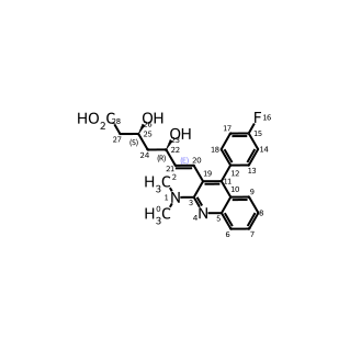 CN(C)c1nc2ccccc2c(-c2ccc(F)cc2)c1/C=C/[C@H](O)C[C@H](O)CC(=O)O